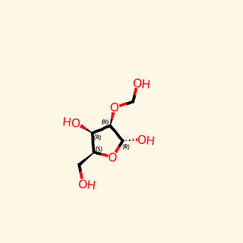 OCO[C@@H]1[C@H](O)[C@H](CO)O[C@H]1O